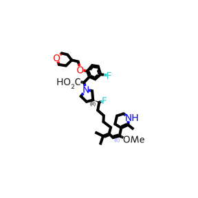 CO/C(=C/C(CCCCC(F)[C@@H]1CCN(C(C(=O)O)c2cc(F)ccc2OCC2CCOCC2)C1)=C(C)C)C1=C(C)NCCC1